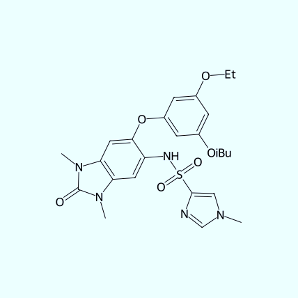 CCOc1cc(OCC(C)C)cc(Oc2cc3c(cc2NS(=O)(=O)c2cn(C)cn2)n(C)c(=O)n3C)c1